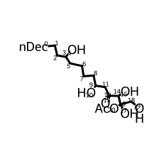 CCCCCCCCCCCCC(O)CCCCC(O)CC(=O)C(O)C(O)(CO)OC(C)=O